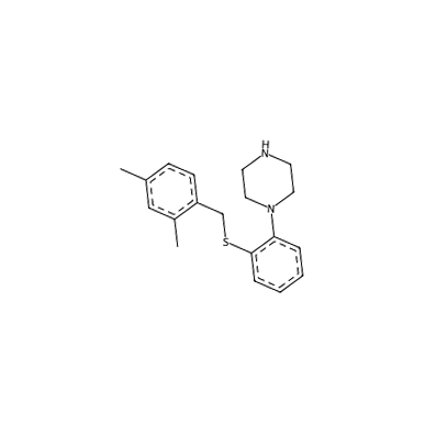 Cc1ccc(CSc2ccccc2N2CCNCC2)c(C)c1